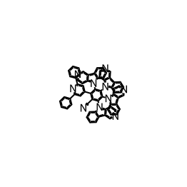 N#Cc1c(-c2cc(-c3ccccc3)nc(-c3ccccc3)c2)c(-n2c3ccccc3c3cnccc32)c(-n2c3ccccc3c3cnccc32)c(-n2c3ccccc3c3cnccc32)c1-n1c2ccccc2c2cnccc21